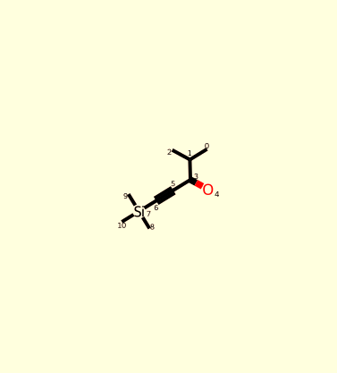 CC(C)C(=O)C#C[Si](C)(C)C